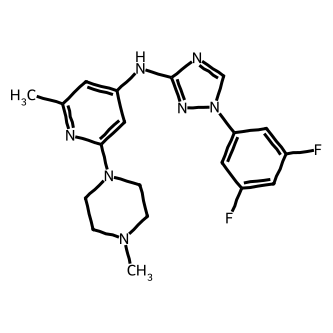 Cc1cc(Nc2ncn(-c3cc(F)cc(F)c3)n2)cc(N2CCN(C)CC2)n1